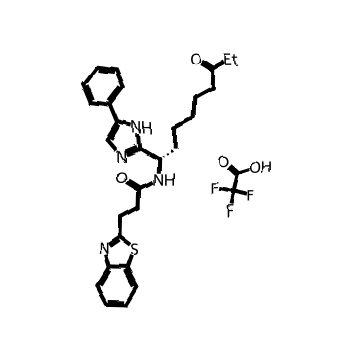 CCC(=O)CCCCC[C@H](NC(=O)CCc1nc2ccccc2s1)c1ncc(-c2ccccc2)[nH]1.O=C(O)C(F)(F)F